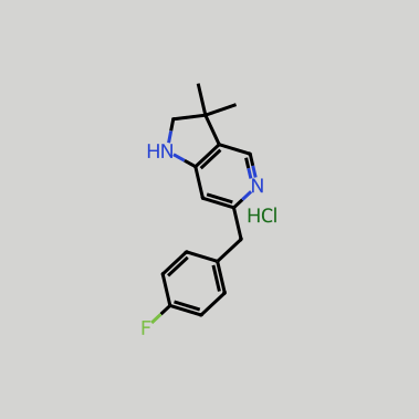 CC1(C)CNc2cc(Cc3ccc(F)cc3)ncc21.Cl